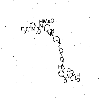 COc1cc2nn(C3CCN(CCOCCOCCNc4cccc5c4C(=O)N(C4CCC(=O)NC4=O)C5=O)CC3)cc2cc1NC(=O)c1cccc(C(F)(F)F)n1